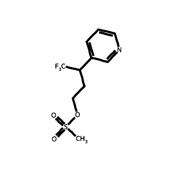 CS(=O)(=O)OCCC(c1cccnc1)C(F)(F)F